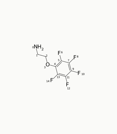 NCCOc1c(F)c(F)c(F)c(F)c1F